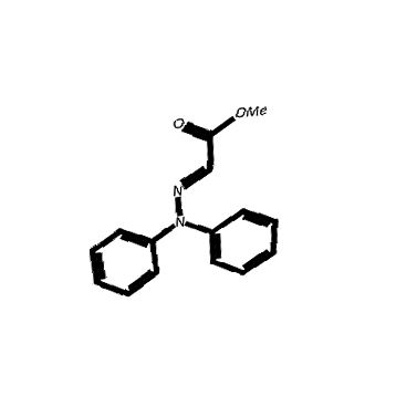 COC(=O)C=NN(c1ccccc1)c1ccccc1